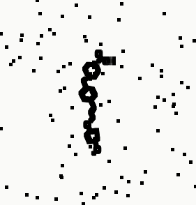 COc1ccc(OCC=Cc2ccc(CN3CCN(C(=O)O)CC3)cc2)cc1